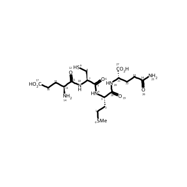 CSCC[C@H](NC(=O)[C@H](CS)NC(=O)[C@@H](N)CCC(=O)O)C(=O)N[C@@H](CCC(N)=O)C(=O)O